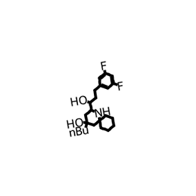 CCCCC1(O)CC(C(O)CCc2cc(F)cc(F)c2)NC2(CCCCC2)C1